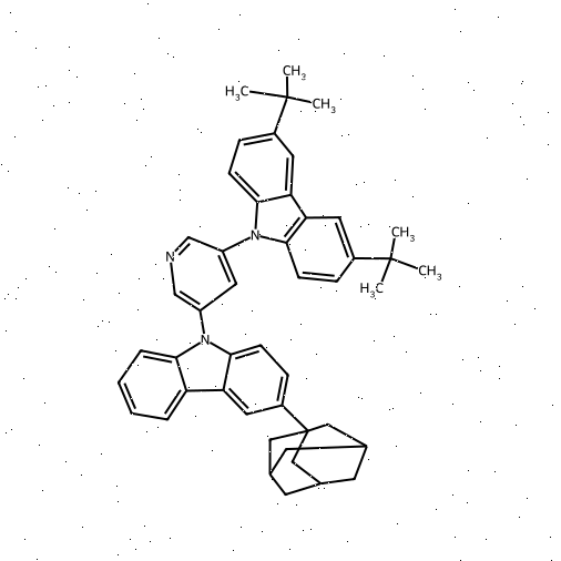 CC(C)(C)c1ccc2c(c1)c1cc(C(C)(C)C)ccc1n2-c1cncc(-n2c3ccccc3c3cc(C45CC6CC(CC(C6)C4)C5)ccc32)c1